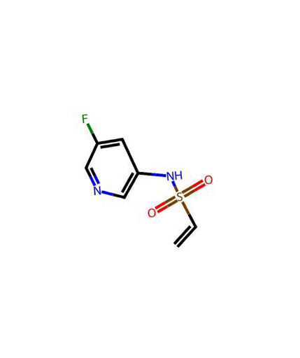 C=CS(=O)(=O)Nc1cncc(F)c1